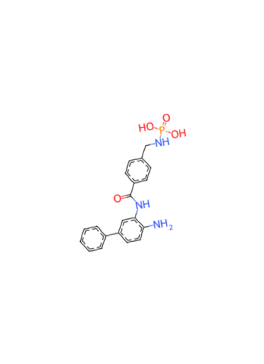 Nc1ccc(-c2ccccc2)cc1NC(=O)c1ccc(CNP(=O)(O)O)cc1